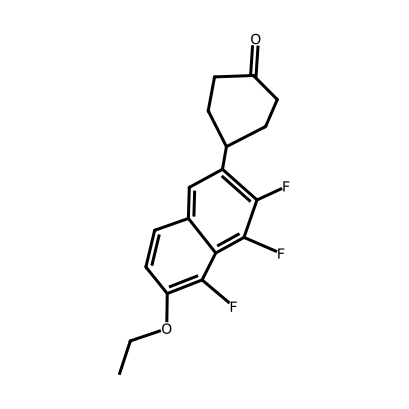 CCOc1ccc2cc(C3CCC(=O)CC3)c(F)c(F)c2c1F